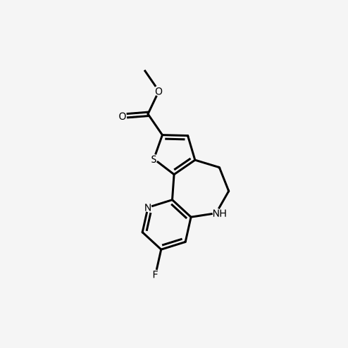 COC(=O)c1cc2c(s1)-c1ncc(F)cc1NCC2